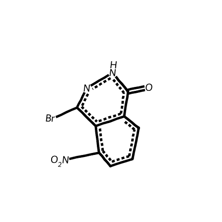 O=c1[nH]nc(Br)c2c([N+](=O)[O-])cccc12